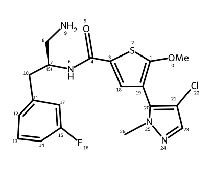 COc1sc(C(=O)N[C@H](CN)Cc2cccc(F)c2)cc1-c1c(Cl)cnn1C